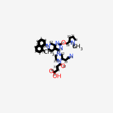 Cc1cccc2cccc(N3CCc4c(nc(OCC5CCCN5C)nc4N4CCN(C(=O)/C=C/C(=O)O)C(CC#N)C4)C3)c12